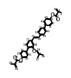 C=C(C)C(=O)Oc1ccc(-c2ccc(/C=C/c3ccc(-c4ccc(OC(=O)C(=C)C)cc4)c(OC=C(C)C)c3)cc2)cc1